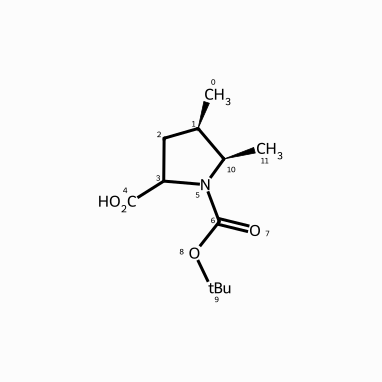 C[C@@H]1CC(C(=O)O)N(C(=O)OC(C)(C)C)[C@@H]1C